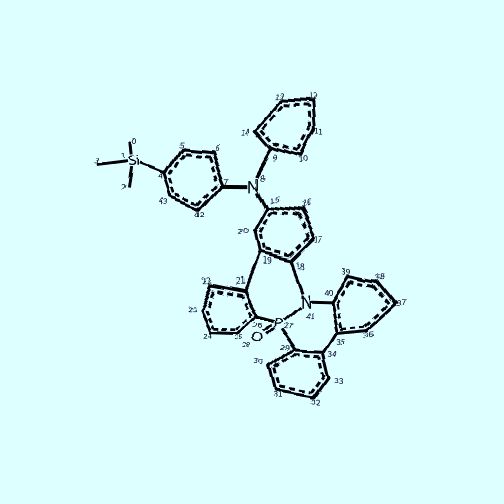 C[Si](C)(C)c1ccc(N(c2ccccc2)c2ccc3c(c2)-c2ccccc2P2(=O)c4ccccc4-c4ccccc4N32)cc1